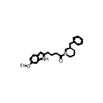 CCOc1ccc2cc(CCCC(=O)N3CCCC(Cc4ccccc4)C3)[nH]c2c1